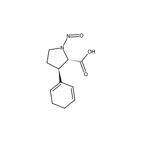 O=NN1CC[C@H](C2=CCCC=C2)[C@H]1C(=O)O